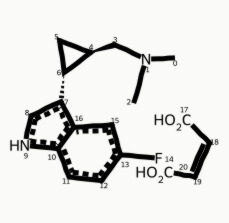 CN(C)C[C@@H]1C[C@H]1c1c[nH]c2ccc(F)cc12.O=C(O)/C=C\C(=O)O